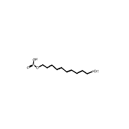 CCCCCCCCCCCCCCCCCCO[P](=O)O